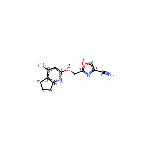 N#Cc1coc(COc2cc(Cl)c3c(n2)CCC3)n1